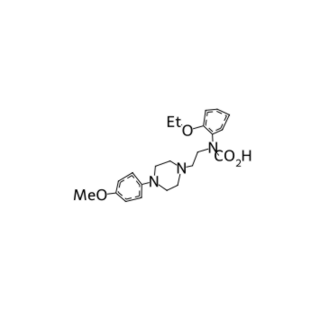 CCOc1ccccc1N(CCN1CCN(c2ccc(OC)cc2)CC1)C(=O)O